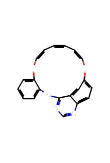 c1cccoc2ccccc2[nH]c2ncnc3ccc(cc32)occ1